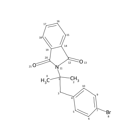 CC(C)(Cc1ccc(Br)cc1)N1C(=O)c2ccccc2C1=O